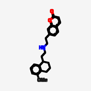 COc1cccc2c1CCCC2CCNCCc1ccc2ccc(=O)oc2c1